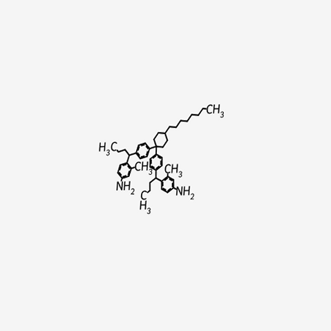 CCCCCCCCC1CCC(c2ccc(C(CCC)c3ccc(N)cc3C)cc2)(c2ccc(C(CCC)c3ccc(N)cc3C)cc2)CC1